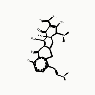 CN(C)/C=N/c1ccc(O)c2c1CC1CC3C(N(C)C)C(O)=C(C(N)=O)C(=O)C3(O)C(O)=C1C2=O